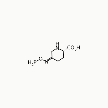 O=C(O)[C@@H]1CC/C(=N/OP)CN1